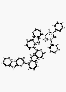 NC(NC(NCc1cccc2c1oc1c(-c3cccc4c3oc3c(-c5ccc6c(c5)oc5ccccc56)cccc34)cccc12)c1ccccc1)c1ccccc1